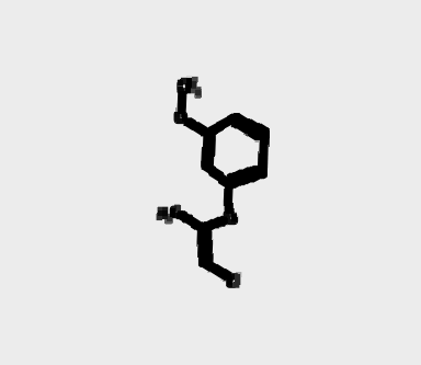 COc1cccc(O/C(C)=C\Cl)c1